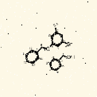 Fc1cc(Br)cc(OCc2ccccc2)c1.OCc1ccccc1